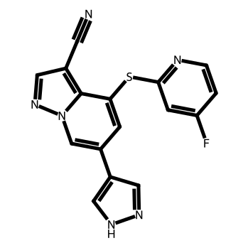 N#Cc1cnn2cc(-c3cn[nH]c3)cc(Sc3cc(F)ccn3)c12